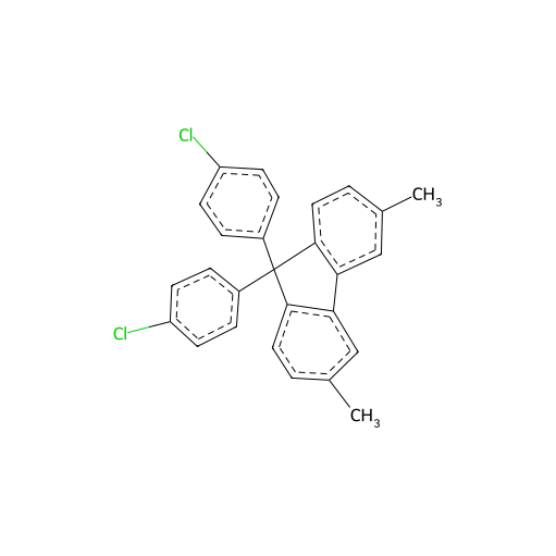 Cc1ccc2c(c1)-c1cc(C)ccc1C2(c1ccc(Cl)cc1)c1ccc(Cl)cc1